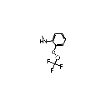 CNc1ccccc1OOC(F)(F)F